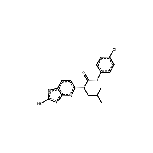 CC(C)CN(C(=O)Oc1ccc(Cl)cc1)c1ccc2nc(S)sc2n1